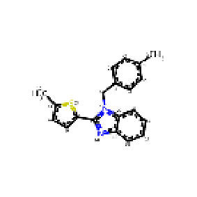 Cc1ccc(Cn2c(-c3ccc(C)s3)nc3ccccc32)cc1